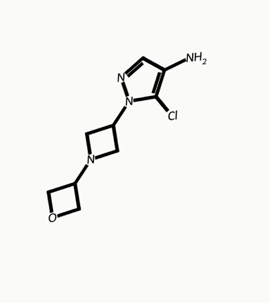 Nc1cnn(C2CN(C3COC3)C2)c1Cl